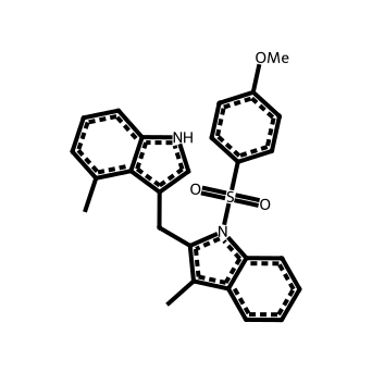 COc1ccc(S(=O)(=O)n2c(Cc3c[nH]c4cccc(C)c34)c(C)c3ccccc32)cc1